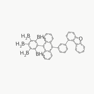 Bc1c(B)c(B)c(-c2c3ccccc3c(-c3cccc(-c4cccc5oc6ccccc6c45)c3)c3ccccc23)c(B)c1B